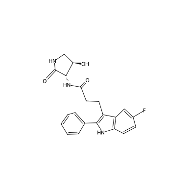 O=C(CCc1c(-c2ccccc2)[nH]c2ccc(F)cc12)N[C@@H]1C(=O)NC[C@H]1O